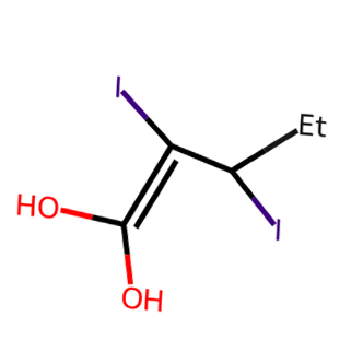 CCC(I)C(I)=C(O)O